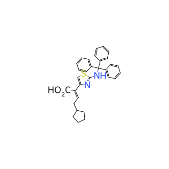 O=C(O)/C(=C\CC1CCCC1)c1csc(NC(c2ccccc2)(c2ccccc2)c2ccccc2)n1